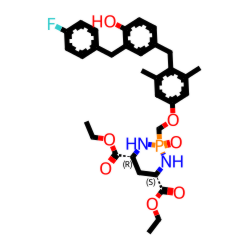 CCOC(=O)[C@@H]1C[C@H](C(=O)OCC)NP(=O)(COc2cc(C)c(Cc3ccc(O)c(Cc4ccc(F)cc4)c3)c(C)c2)N1